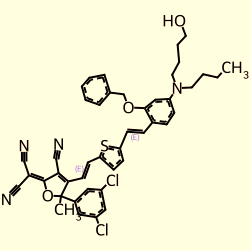 CCCCN(CCCCO)c1ccc(/C=C/c2ccc(/C=C/C3=C(C#N)C(=C(C#N)C#N)OC3(C)c3cc(Cl)cc(Cl)c3)s2)c(OCc2ccccc2)c1